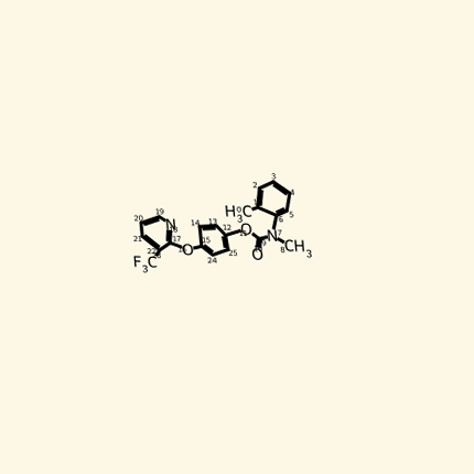 Cc1ccccc1N(C)C(=O)Oc1ccc(Oc2ncccc2C(F)(F)F)cc1